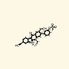 C#Cc1ccc2c(c1)[nH]c1c2c(=O)c2cc(CC)c(-c3cccc(OS(=O)(=O)F)c3)cc2n1CC